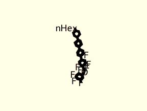 CCCCCCC1CCC(c2ccc(-c3ccc(-c4cc(F)c(C(F)(F)Oc5cc(F)c(F)c(F)c5)c(F)c4)c(F)c3)cc2)CC1